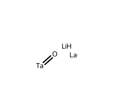 [La].[LiH].[O]=[Ta]